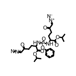 CC(C)OC(=O)C(CCC(=O)C=[N+]=[N-])NP(=O)(NC(CCC(=O)C=[N+]=[N-])C(=O)OC(C)C)Oc1ccccc1